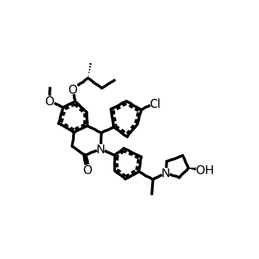 CC[C@@H](C)Oc1cc2c(cc1OC)CC(=O)N(c1ccc(C(C)N3CC[C@@H](O)C3)cc1)C2c1ccc(Cl)cc1